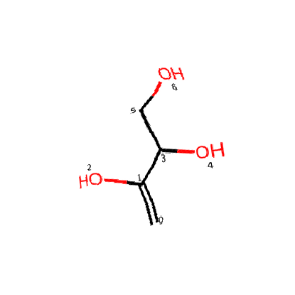 C=C(O)C(O)CO